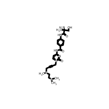 CN(C)CCN(C)CC#CCn1ccc(NC(=O)c2ccc(NC(=O)C(C)(N)CO)cc2)nc1=O